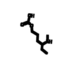 CCC(CCCOC(=O)O)NC